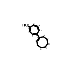 OC1=CC=C(/C2=C/CCCCCC2)C=C=C1